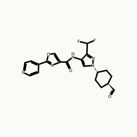 O=C[C@H]1CC[C@H](n2cc(NC(=O)c3coc(-c4ccncc4)n3)c(C(F)F)n2)CC1